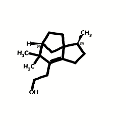 C[C@H]1CCC2=C(CCO)C(C)(C)[C@@H]3CCC21C3